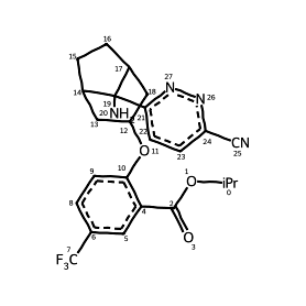 CC(C)OC(=O)c1cc(C(F)(F)F)ccc1OC1CC2CCC(C1)C2(N)c1ccc(C#N)nn1